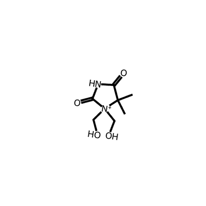 CC1(C)C(=O)NC(=O)[N+]1(CO)CO